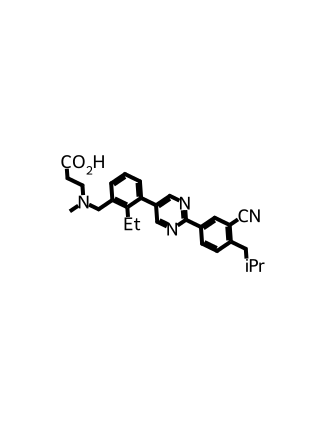 CCc1c(CN(C)CCC(=O)O)cccc1-c1cnc(-c2ccc(CC(C)C)c(C#N)c2)nc1